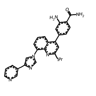 CC(C)c1cc(-c2ccc(C(N)=O)c(N)c2)c2cccc(-n3cnc(-c4cccnc4)c3)c2n1